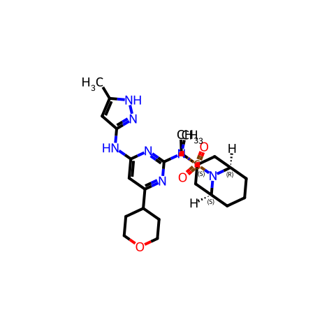 CCS(=O)(=O)N1[C@@H]2CCC[C@H]1C[C@H](N(C)c1nc(Nc3cc(C)[nH]n3)cc(C3CCOCC3)n1)C2